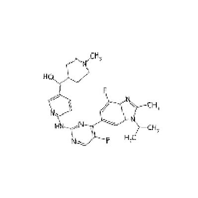 CC1=NC2C(F)=CC(c3nc(Nc4ccc(C(O)C5CCN(C)CC5)cn4)ncc3F)=CC2N1C(C)C